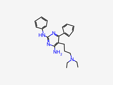 CCN(CC)CCCc1c(N)nc(Nc2ccccc2)nc1-c1ccccc1